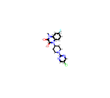 Cn1c(=O)c(=O)n(C2CCN(c3ncc(Cl)cn3)CC2)c2ccc(F)cc21